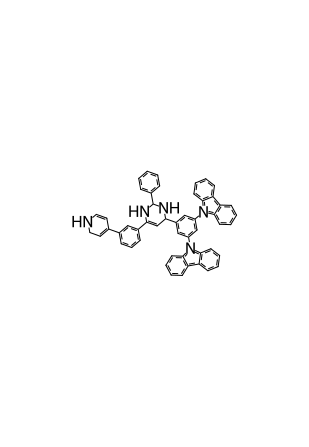 C1=CC(c2cccc(C3=CC(c4cc(-n5c6ccccc6c6ccccc65)cc(-n5c6ccccc6c6ccccc65)c4)NC(c4ccccc4)N3)c2)=CCN1